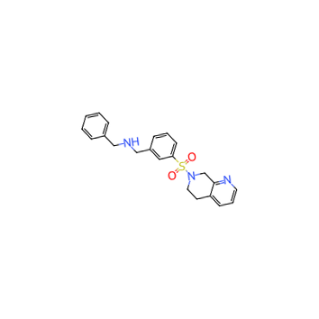 O=S(=O)(c1cccc(CNCc2ccccc2)c1)N1CCc2cccnc2C1